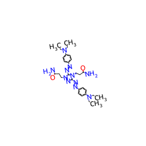 CCN(CC)c1ccc(N=Nc2nn(CCC(N)=O)c(N=Nc3ccc(N(CC)CC)cc3)[n+]2CCC(N)=O)cc1